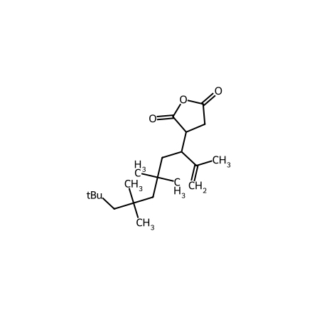 C=C(C)C(CC(C)(C)CC(C)(C)CC(C)(C)C)C1CC(=O)OC1=O